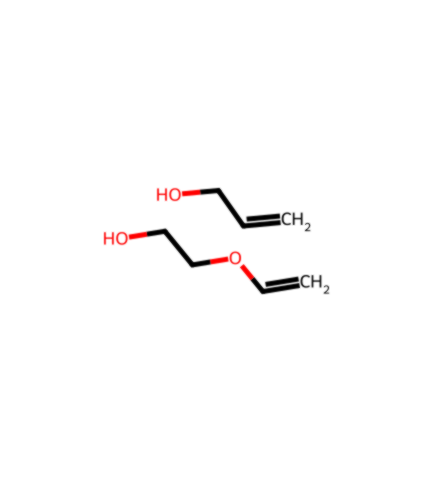 C=CCO.C=COCCO